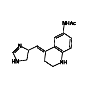 CC(=O)Nc1ccc2c(c1)/C(=C/C1CNC=N1)CCN2